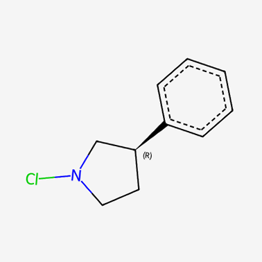 ClN1CC[C@H](c2ccccc2)C1